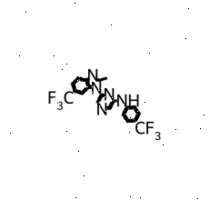 Cc1nc2ccc(C(F)(F)F)cc2n1-c1cncc(Nc2ccc(C(F)(F)F)cc2)n1